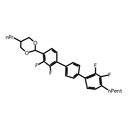 CCCCCc1ccc(-c2ccc(-c3ccc(C4OCC(CCC)CO4)c(F)c3F)cc2)c(F)c1F